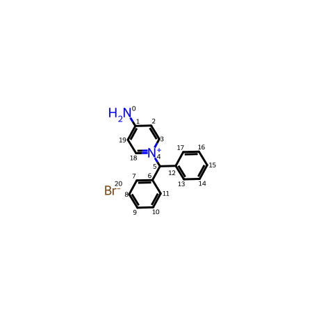 Nc1cc[n+](C(c2ccccc2)c2ccccc2)cc1.[Br-]